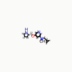 CN(CC1CC1)c1cncc(OC[C@@H]2CCCN2)c1